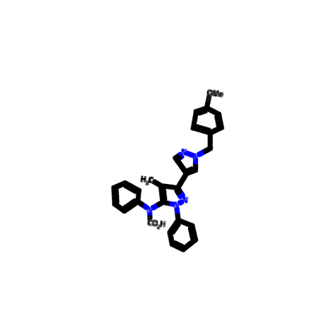 COc1ccc(Cn2cc(-c3nn(-c4ccccc4)c(N(C(=O)O)c4ccccc4)c3C)cn2)cc1